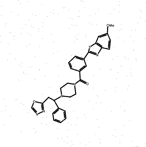 COc1ccc2nc(-c3cccc(C(=O)N4CCN(C(Cc5nnco5)c5ccccc5)CC4)c3)sc2c1